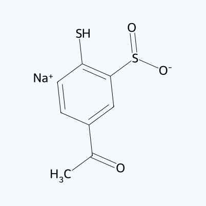 CC(=O)c1ccc(S)c(S(=O)[O-])c1.[Na+]